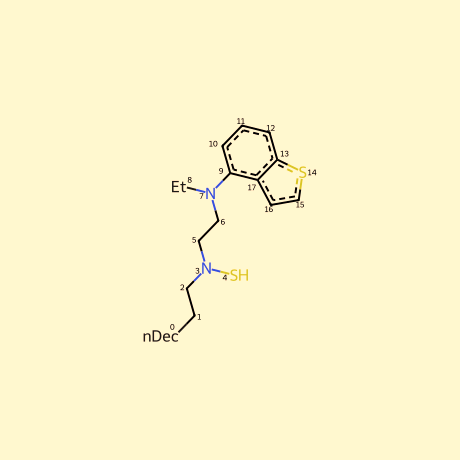 CCCCCCCCCCCCN(S)CCN(CC)c1cccc2sccc12